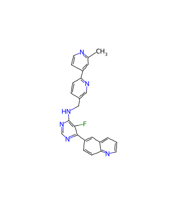 Cc1cc(-c2ccc(CNc3ncnc(-c4ccc5ncccc5c4)c3F)cn2)ccn1